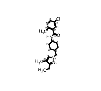 CCc1nn(CC2CCC(NC(=O)c3cc(Cl)cnc3C)CC2)cc1C